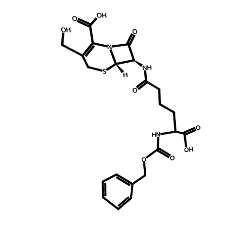 O=C(CCCC(NC(=O)OCc1ccccc1)C(=O)O)N[C@@H]1C(=O)N2C(C(=O)O)=C(CO)CS[C@@H]12